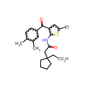 CCc1cc(C(=O)c2ccc(C)c(C)c2)c(NC(=O)CC2(CC(=O)O)CCCC2)s1